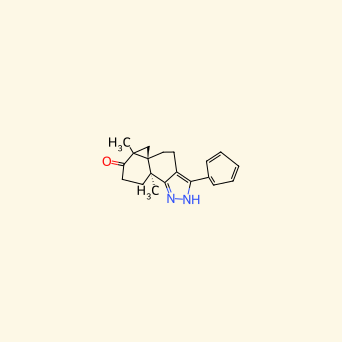 CC12C[C@]13CCc1c(n[nH]c1-c1ccccc1)[C@@]3(C)CCC2=O